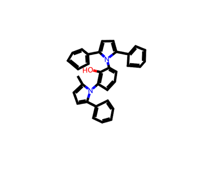 Cc1ccc(-c2ccccc2)n1-c1cccc(-n2c(-c3ccccc3)ccc2-c2ccccc2)c1O